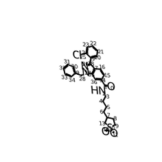 O=C(NCCCCC1CCS(=O)(=O)C1)c1ccc2c(-c3ccccc3Cl)nn(Cc3ccccc3)c2c1